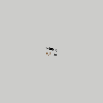 S.[Se]=[Hg].[Zn]